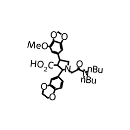 CCCCN(CCCC)C(=O)CN1CC(c2cc(OC)c3c(c2)OCO3)C(C(=O)O)C1c1ccc2c(c1)OCCO2